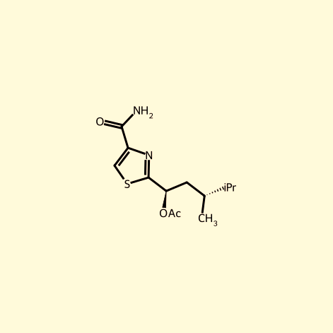 CC(=O)O[C@H](C[C@@H](C)C(C)C)c1nc(C(N)=O)cs1